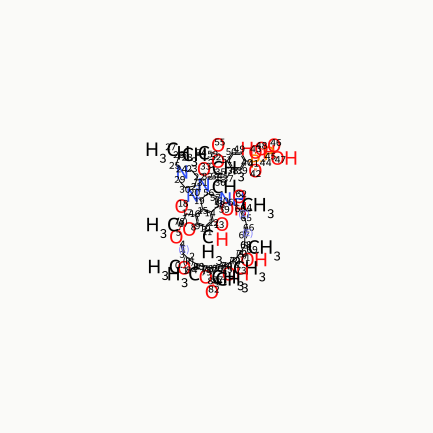 CO[C@H]1/C=C/O[C@@]2(C)Oc3c(C)c(O)c4c(c3C2=O)C2=NC3(CCN(CC(C)C)CC3)N(C(=O)C(C)(C)Cc3cc(P(=O)(O)CP(=O)(O)O)ccc3OC(C)=O)C2C(=C4O)NC(=O)/C(C)=C\C=C\[C@H](C)[C@H](O)[C@@H](C)[C@@H](O)[C@@H](C)[C@H](OC(C)=O)[C@@H]1C